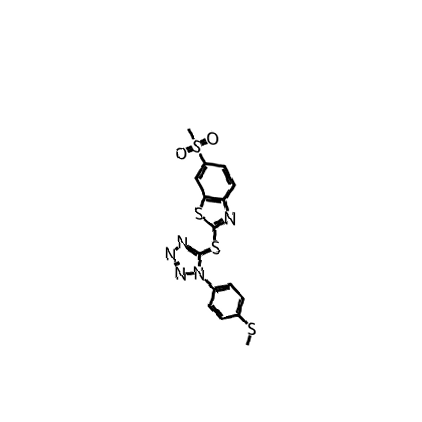 CSc1ccc(-n2nnnc2Sc2nc3ccc(S(C)(=O)=O)cc3s2)cc1